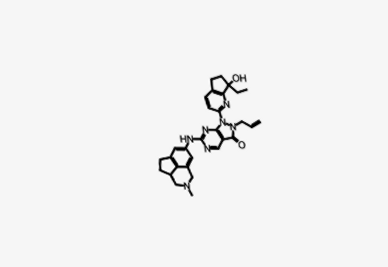 C=CCn1c(=O)c2cnc(Nc3cc4c5c(c3)CN(C)CC5(C)CC4)nc2n1-c1ccc2c(n1)C(O)(CC)CC2